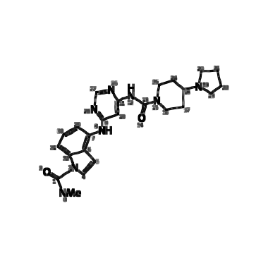 CNC(=O)n1ccc2c(Nc3cc(NC(=O)N4CCC(N5CCCC5)CC4)ncn3)cccc21